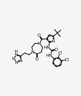 CC(C)(C)c1cc(C(=O)N2CCC(=O)N(CCc3nnn[nH]3)CC2)c(NC(=O)Nc2cccc(Cl)c2Cl)s1